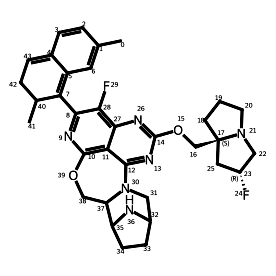 Cc1ccc2c(c1)=C(c1nc3c4c(nc(OC[C@@]56CCCN5C[C@H](F)C6)nc4c1F)N1CC4CCC(N4)C1CO3)C(C)CC=2